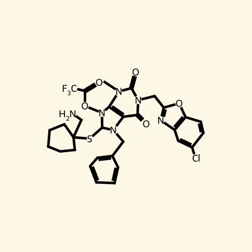 Cn1c2c(c(=O)n(Cc3nc4cc(Cl)ccc4o3)c1=O)N(Cc1ccccc1)C(SC1(CN)CCCCC1)N2OC(=O)C(F)(F)F